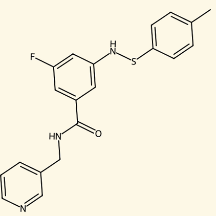 Cc1ccc(SNc2cc(F)cc(C(=O)NCc3cccnc3)c2)cc1